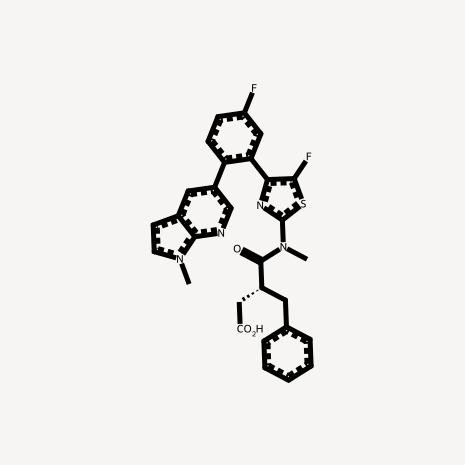 CN(C(=O)[C@@H](CC(=O)O)Cc1ccccc1)c1nc(-c2cc(F)ccc2-c2cnc3c(ccn3C)c2)c(F)s1